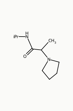 CC(C)NC(=O)C(C)N1CCCC1